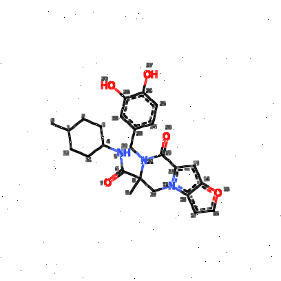 CC1CCC(NC(=O)C2(C)Cn3c(cc4occc43)C(=O)N2Cc2ccc(O)c(O)c2)CC1